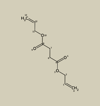 C=CCOC(=O)CCC(=O)OCC=C